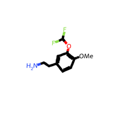 COc1ccc(CCN)cc1OC(F)F